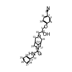 N#Cc1ccc(OCC(O)CN2CC3CC(C2)CN(C(=O)NCc2ccccc2)C3)cc1